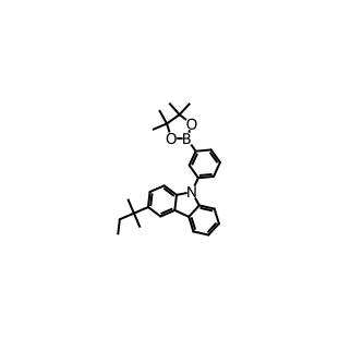 CCC(C)(C)c1ccc2c(c1)c1ccccc1n2-c1cccc(B2OC(C)(C)C(C)(C)O2)c1